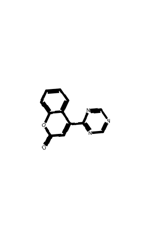 O=c1cc(-c2ncncn2)c2ccccc2o1